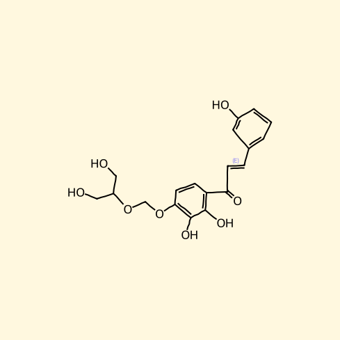 O=C(/C=C/c1cccc(O)c1)c1ccc(OCOC(CO)CO)c(O)c1O